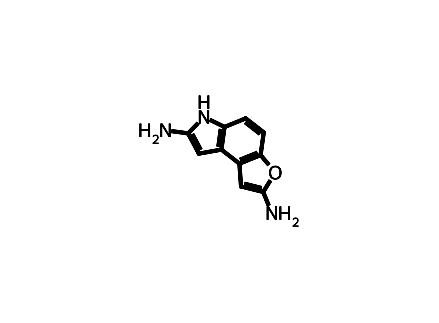 Nc1cc2c(ccc3oc(N)cc32)[nH]1